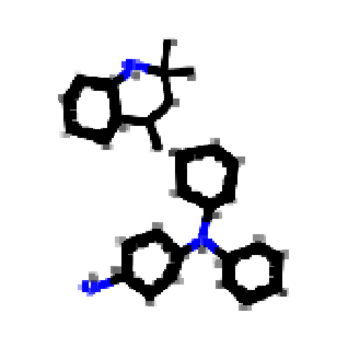 CC1CC(C)(C)Nc2ccccc21.Nc1ccc(N(c2ccccc2)c2ccccc2)cc1